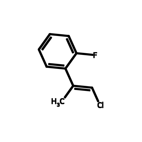 CC(=CCl)c1ccccc1F